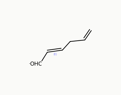 C=CC/C=C/[C]=O